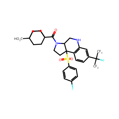 O=C(O)C12CCC(C(=O)N3CCC4(S(=O)(=O)c5ccc(F)cc5)c5ccc(C(F)(C(F)(F)F)C(F)(F)F)cc5NCC34)(CC1)CC2